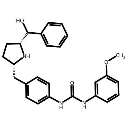 COc1cccc(NC(=O)Nc2ccc(C[C@@H]3CC[C@H](C(O)c4ccccc4)N3)cc2)c1